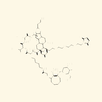 CCCC1O[C@@H]2C[C@H]3[C@@H]4C[C@H](F)C5=CC(=O)C=C[C@]5(C)[C@@]4(F)[C@@H](O)C[C@]3(C)[C@]2(C(=O)CNC(=O)[C@H](C)NC(=O)[C@@H](NC(=O)[C@@H](CCCCCNC(=O)COC2CCCCC/C(N[C@@H]3O[C@H](CO)[C@H](O)[C@H](O)[C@H]3O)=C\2N=N)NC(=O)CCOCCOCCOCCOCCN2C(=O)C=CC2=O)C(C)C)O1